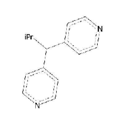 CC(C)C(c1ccncc1)c1ccncc1